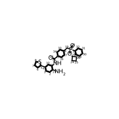 Nc1ccc(-c2cccs2)cc1NC(=O)c1ccc(CP(=O)(OC2CCC2)c2ccccc2)cc1